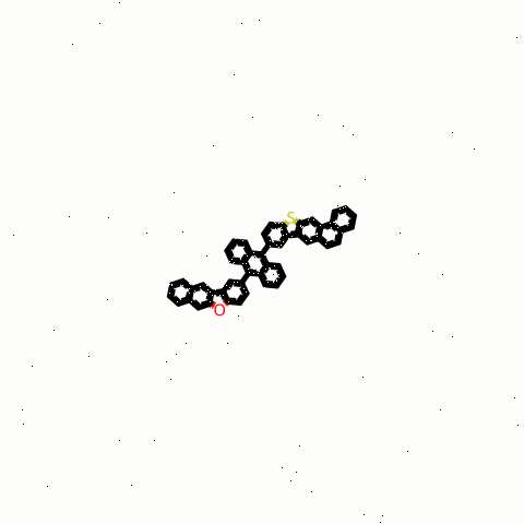 c1ccc2cc3c(cc2c1)oc1ccc(-c2c4ccccc4c(-c4ccc5sc6cc7c(ccc8ccccc87)cc6c5c4)c4ccccc24)cc13